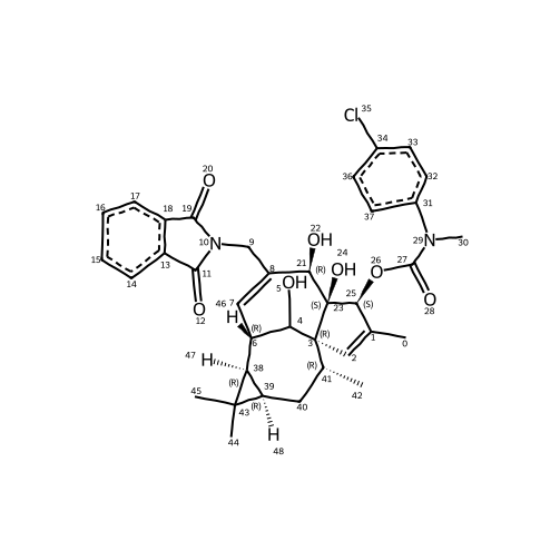 CC1=C[C@]23C(O)[C@@H](C=C(CN4C(=O)c5ccccc5C4=O)[C@@H](O)[C@]2(O)[C@H]1OC(=O)N(C)c1ccc(Cl)cc1)[C@H]1[C@@H](C[C@H]3C)C1(C)C